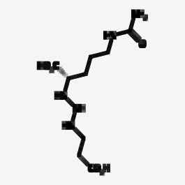 NC(=O)NCCC[C@H](NNNCCC(=O)O)C(=O)O